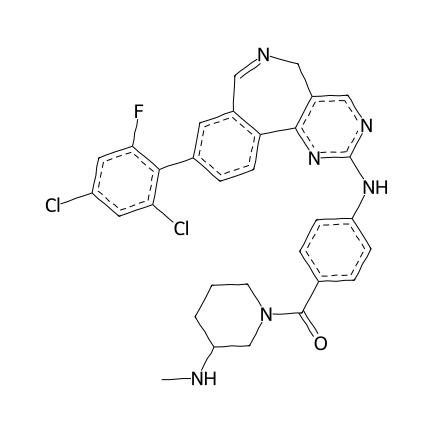 CNC1CCCN(C(=O)c2ccc(Nc3ncc4c(n3)-c3ccc(-c5c(F)cc(Cl)cc5Cl)cc3C=NC4)cc2)C1